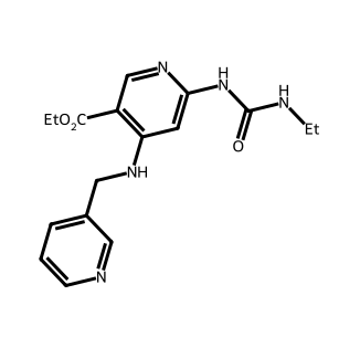 CCNC(=O)Nc1cc(NCc2cccnc2)c(C(=O)OCC)cn1